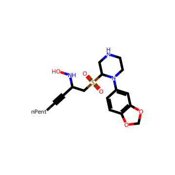 CCCCCC#CC(CS(=O)(=O)C1CNCCN1c1ccc2c(c1)OCO2)NO